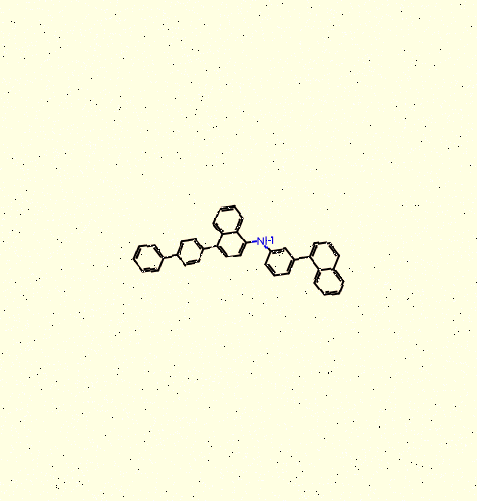 c1ccc(-c2ccc(-c3ccc(Nc4cccc(-c5cccc6ccccc56)c4)c4ccccc34)cc2)cc1